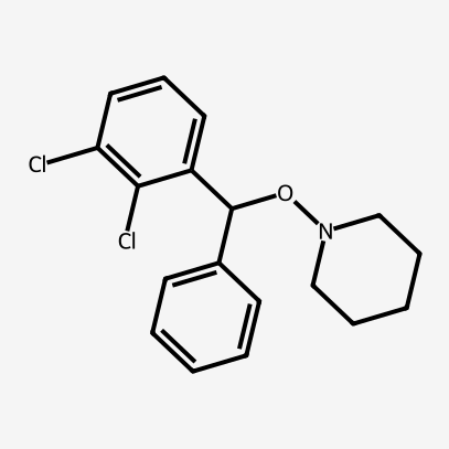 Clc1cccc(C(ON2CCCCC2)c2ccccc2)c1Cl